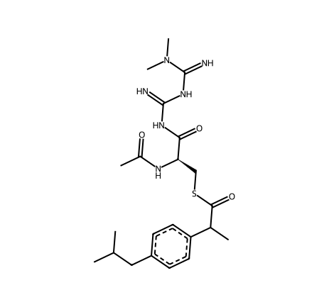 CC(=O)N[C@H](CSC(=O)C(C)c1ccc(CC(C)C)cc1)C(=O)NC(=N)NC(=N)N(C)C